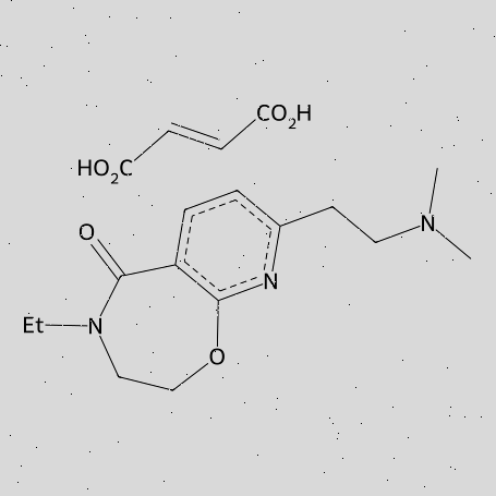 CCN1CCOc2nc(CCN(C)C)ccc2C1=O.O=C(O)C=CC(=O)O